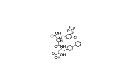 O=C(N[C@H](Cc1ccc(-c2ccccc2)cc1)CC(O)C(=O)O)c1cc(C(=O)O)n(Cc2ccc(Cl)c(SC(F)(F)F)c2)n1